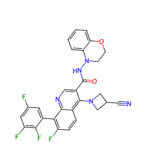 N#CC1CN(c2c(C(=O)NN3CCOc4ccccc43)cnc3c(-c4cc(F)cc(F)c4F)c(F)ccc23)C1